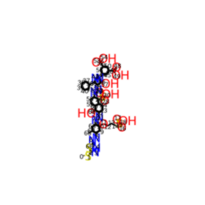 CSc1nnc(N=Nc2cc(OCCCS(=O)(=O)O)c(N=Nc3ccc4c(S(=O)(=O)O)c(N=Nc5c(-c6ccccc6)nn(-c6cc(C(=O)O)cc(C(=O)O)c6)c5O)ccc4c3O)cc2C)s1